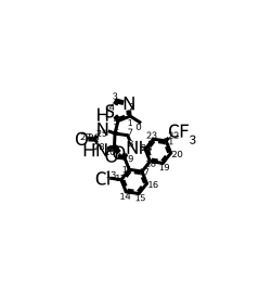 Cc1ncsc1C1(CNC(=O)c2c(Cl)cccc2-c2ccc(C(F)(F)F)cc2)NC(=O)NC1=O